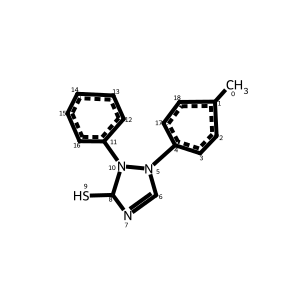 Cc1ccc(N2C=NC(S)N2c2ccccc2)cc1